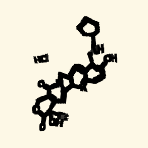 CC[C@@]1(O)C(=O)OCc2c1cc1n(c2=O)Cc2cc3c(CNC4CCCCC4)c(O)ccc3nc2-1.Cl